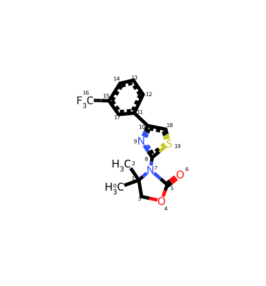 CC1(C)COC(=O)N1c1nc(-c2cccc(C(F)(F)F)c2)cs1